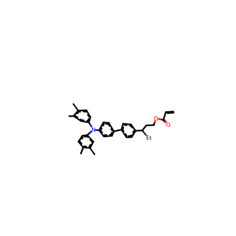 C=CC(=O)OCCC(CC)c1ccc(-c2ccc(N(c3ccc(C)c(C)c3)c3ccc(C)c(C)c3)cc2)cc1